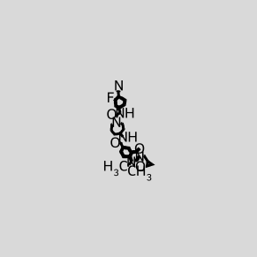 CC(C)n1c(=O)n(CC2CC2)c(=O)c2cc(C(=O)NC3CCCN(C(=O)Nc4ccc(C#N)c(F)c4)CC3)ccc21